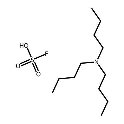 CCCCN(CCCC)CCCC.O=S(=O)(O)F